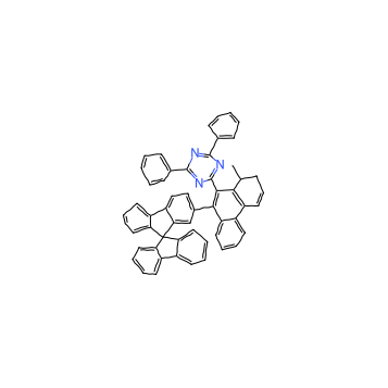 CC1CC=Cc2c1c(-c1nc(-c3ccccc3)nc(-c3ccccc3)n1)c(-c1ccc3c(c1)C1(c4ccccc4-c4ccccc41)c1ccccc1-3)c1ccccc21